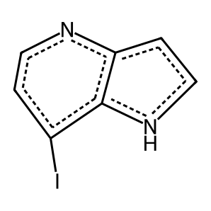 Ic1ccnc2cc[nH]c12